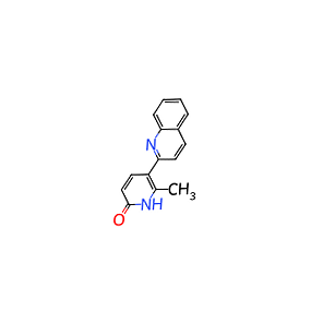 Cc1[nH]c(=O)ccc1-c1ccc2ccccc2n1